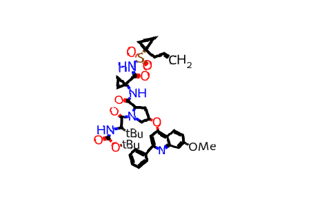 C=CCC1(S(=O)(=O)NC(=O)C2(NC(=O)C3CC(Oc4cc(-c5ccccc5)nc5cc(OC)ccc45)CN3C(=O)C(NC(=O)OC(C)(C)C)C(C)(C)C)CC2)CC1